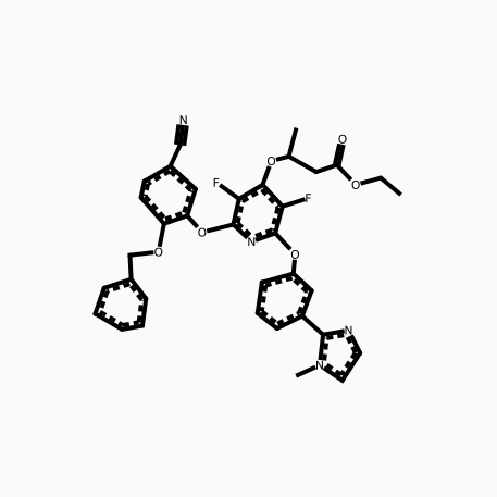 CCOC(=O)CC(C)Oc1c(F)c(Oc2cccc(-c3nccn3C)c2)nc(Oc2cc(C#N)ccc2OCc2ccccc2)c1F